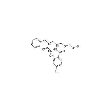 CCOCOC[C@H](C[C@H](Cc1ccccc1)C(=O)NO)NC(=O)c1ccc(CC)cc1